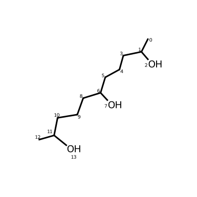 CC(O)CCCC(O)CCCC(C)O